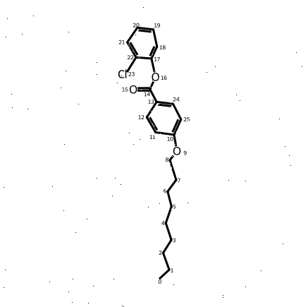 CCCCCCCCCOc1ccc(C(=O)Oc2ccccc2Cl)cc1